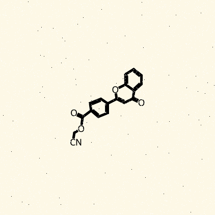 N#CCOC(=O)c1ccc(-c2cc(=O)c3ccccc3o2)cc1